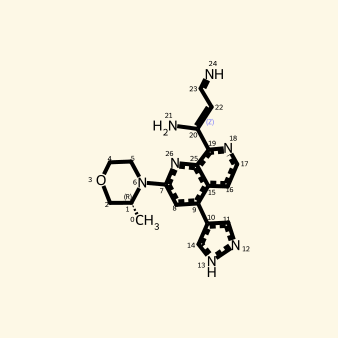 C[C@@H]1COCCN1c1cc(-c2cn[nH]c2)c2ccnc(/C(N)=C/C=N)c2n1